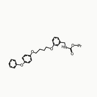 CC(C)OC(=O)NCc1[c]c(OCCCCOc2ccc(Oc3ccccc3)cc2)ccc1